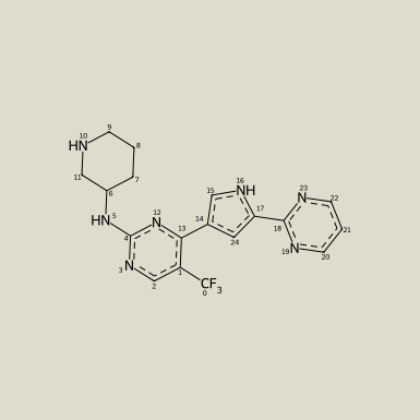 FC(F)(F)c1cnc(NC2CCCNC2)nc1-c1c[nH]c(-c2ncccn2)c1